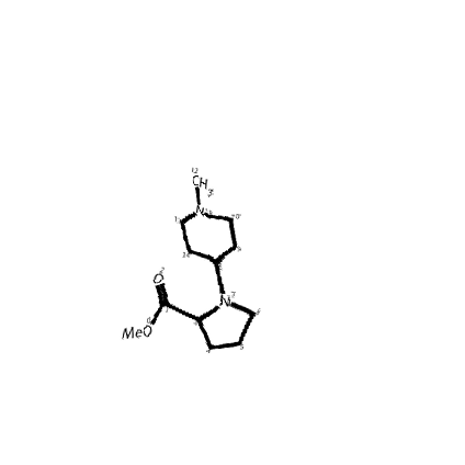 COC(=O)C1CCCN1C1CCN(C)CC1